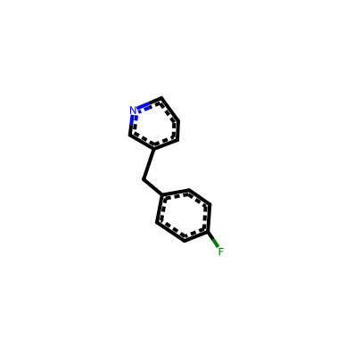 Fc1ccc(Cc2cccnc2)cc1